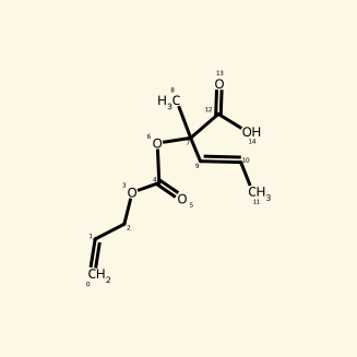 C=CCOC(=O)OC(C)(C=CC)C(=O)O